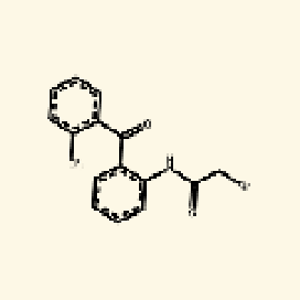 O=C(CBr)Nc1ccccc1C(=O)c1ccccc1C(F)(F)F